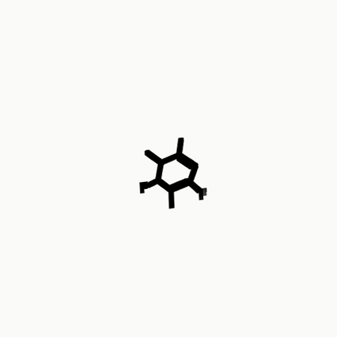 CC1=CC(F)=C(C)C(F)C1C